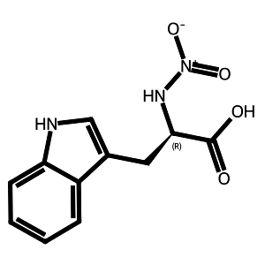 O=C(O)[C@@H](Cc1c[nH]c2ccccc12)N[N+](=O)[O-]